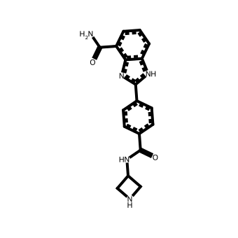 NC(=O)c1cccc2[nH]c(-c3ccc(C(=O)NC4CNC4)cc3)nc12